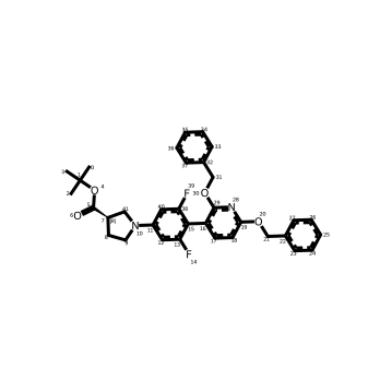 CC(C)(C)OC(=O)[C@@H]1CCN(c2cc(F)c(-c3ccc(OCc4ccccc4)nc3OCc3ccccc3)c(F)c2)C1